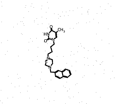 Cc1cn(CCCCN2CCN(Cc3ccc4ccccc4c3)CC2)c(=O)[nH]c1=O